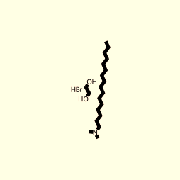 Br.CCCCCCCCCCCCCCCCN(C)C.OCCO